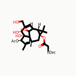 CCCCCCCCCCCC(=O)O[C@@]12C[C@@H](C)[C@]34C=C(C)[C@H](OC(C)=O)[C@@]3(O)[C@H](O)C(CO)=C[C@H](C4O)[C@@H]1C2(C)C